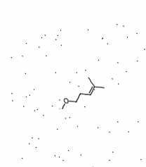 [CH2]OCCC=C(C)C